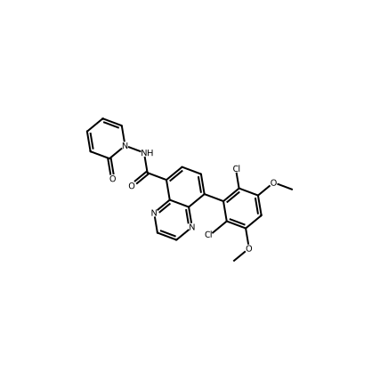 COc1cc(OC)c(Cl)c(-c2ccc(C(=O)Nn3ccccc3=O)c3nccnc23)c1Cl